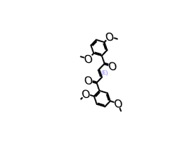 COc1ccc(OC)c(C(=O)/C=C/C(=O)c2cc(OC)ccc2OC)c1